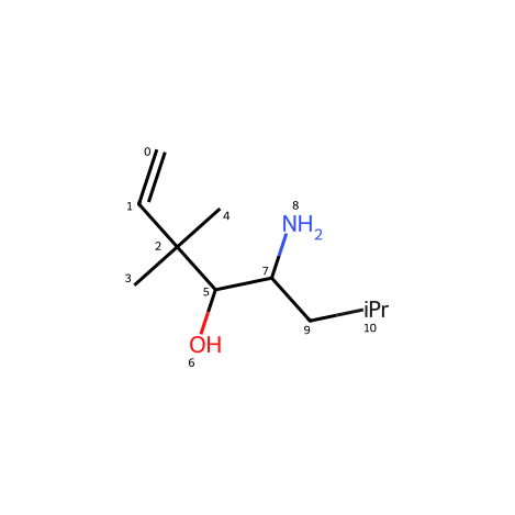 C=CC(C)(C)C(O)C(N)CC(C)C